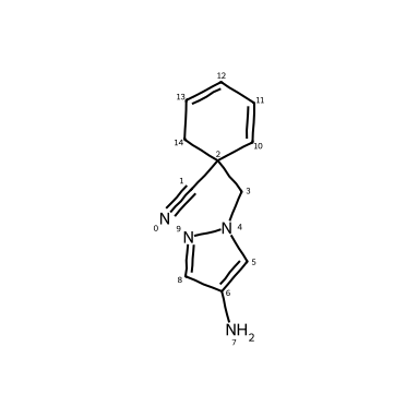 N#CC1(Cn2cc(N)cn2)C=CC=CC1